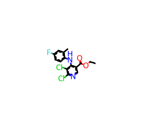 CCOC(=O)c1cnc(Cl)c(Cl)c1Nc1ccc(F)cc1C